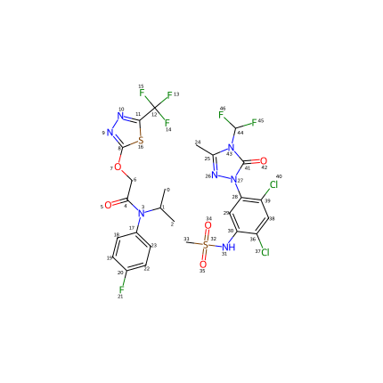 CC(C)N(C(=O)COc1nnc(C(F)(F)F)s1)c1ccc(F)cc1.Cc1nn(-c2cc(NS(C)(=O)=O)c(Cl)cc2Cl)c(=O)n1C(F)F